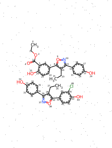 CCOC(=O)c1cc(-c2onc(-c3ccc(O)cc3)c2CC)ccc1O.CCc1c(-c2ccc(O)cc2)noc1-c1ccc(O)c(Cl)c1